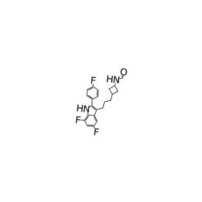 O=CNC1CC(CCCc2c(-c3ccc(F)cc3)[nH]c3c(F)cc(F)cc23)C1